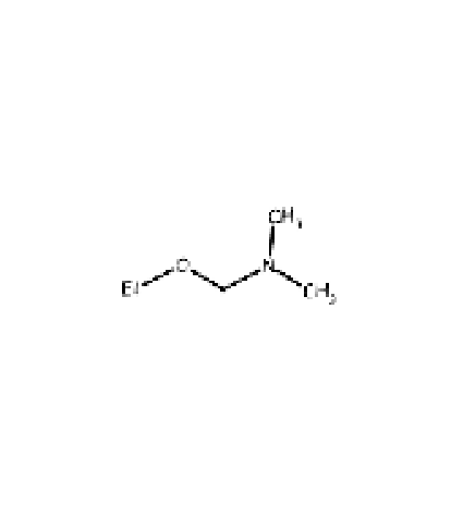 CCO[CH]N(C)C